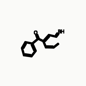 B=C/C=C(\C=C/C)C(=O)c1ccccc1